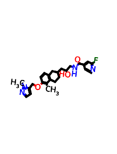 Cc1c(OCc2ccnn2C)ccc2c1CCC(C[C@@H](O)CNC(=O)c1ccnc(F)c1)C2